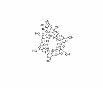 CCCC1OC(C)C(COCC2OC(CO)C(COCC3OC(CO)C(COCC4OC(CO)C(COCC5OC(CO)C(COCC6OC(CO)C(COCC7OC(CO)C(CCC)C(O)C7O)C(O)C6O)C(O)C5O)C(O)C4O)C(O)C3O)C(O)C2O)C(O)C1O